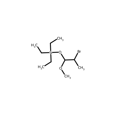 CC[Si](CC)(CC)OC(OC)C(C)Br